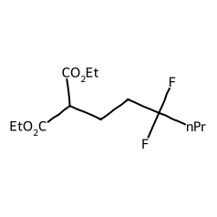 CCCC(F)(F)CCC(C(=O)OCC)C(=O)OCC